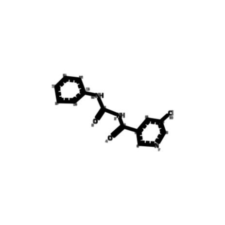 O=C(NC(=O)c1cncc(Cl)c1)Nc1ccccc1